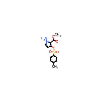 COC(=O)c1c(OS(=O)(=O)c2ccc(C)cc2)ccn1N